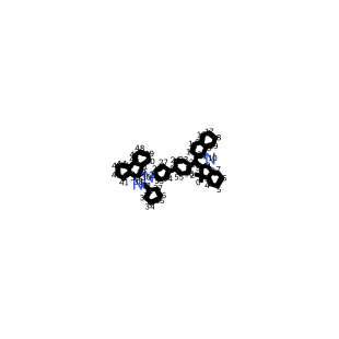 CC1(C)c2ccccc2-c2nc3c(ccc4ccccc43)c(-c3ccc(-c4ccc(-n5c(-c6ccccc6)nc6c7ccccc7c7ccccc7c65)cc4)cc3)c21